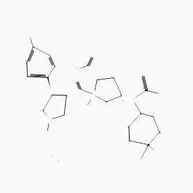 CC[N+]1(C(=O)[C@@H]2CN(C(C)(C)C)C[C@H]2c2ccc(Cl)cc2)C[C@@H](N(C(=O)C(C)(C)C)C2CCC(F)(F)CC2)C[C@H]1C(N)=O.Cl